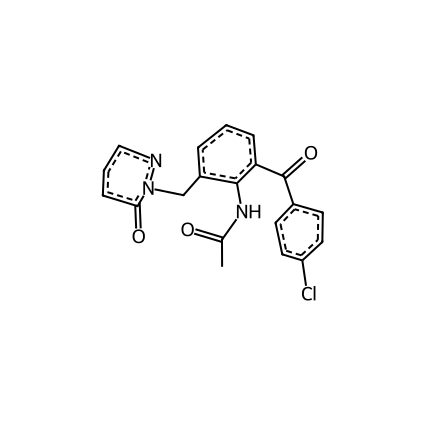 CC(=O)Nc1c(Cn2ncccc2=O)cccc1C(=O)c1ccc(Cl)cc1